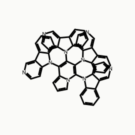 c1ccc2c(c1)c1cnccc1n2-c1c(-n2c3ccccc3c3cnccc32)c(-n2c3ccccc3c3cnccc32)n2cccc2c1-n1c2ccccc2c2cnccc21